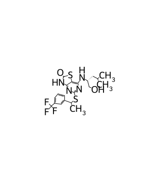 CC(C)C[C@H](CO)Nc1nc(SC(C)c2cccc(C(F)(F)F)c2)nc2[nH]c(=O)sc12